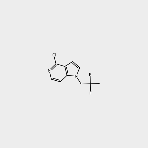 CC(F)(F)Cn1ccc2c(Cl)nccc21